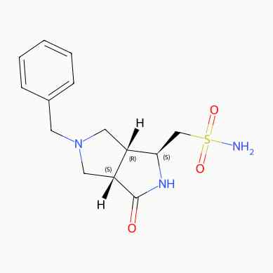 NS(=O)(=O)C[C@H]1NC(=O)[C@@H]2CN(Cc3ccccc3)C[C@H]12